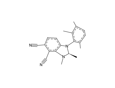 Cc1ccc(C)c(N2c3ccc(C#N)c(C#N)c3N(C)[C@@H]2C)c1C